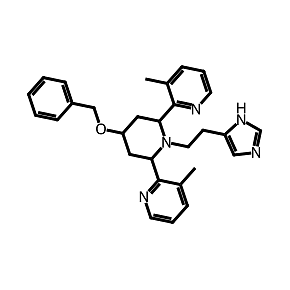 Cc1cccnc1C1CC(OCc2ccccc2)CC(c2ncccc2C)N1CCc1cnc[nH]1